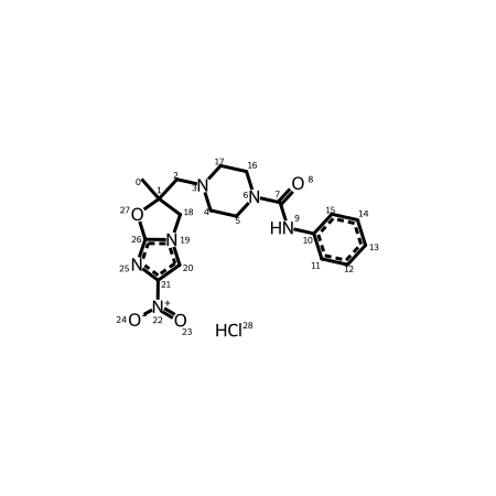 CC1(CN2CCN(C(=O)Nc3ccccc3)CC2)Cn2cc([N+](=O)[O-])nc2O1.Cl